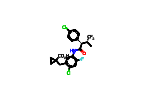 C[C@H]([C@H](C(=O)Nc1cc(CC2(C(=O)O)CC2)c(Cl)cc1F)c1ccc(Cl)cc1)C(F)(F)F